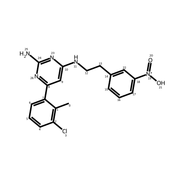 Cc1c(Cl)cccc1-c1cc(NCCc2cccc([N+](=O)O)c2)nc(N)n1